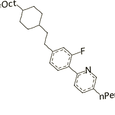 CCCCCCCCC1CCC(CCc2ccc(-c3ccc(CCCCC)cn3)c(F)c2)CC1